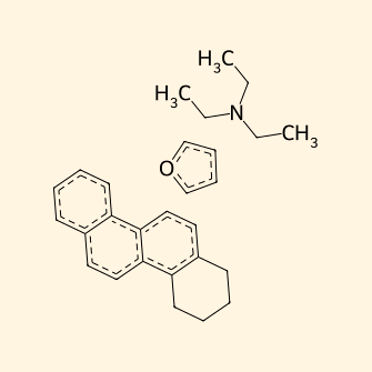 CCN(CC)CC.c1ccc2c(c1)ccc1c3c(ccc12)CCCC3.c1ccoc1